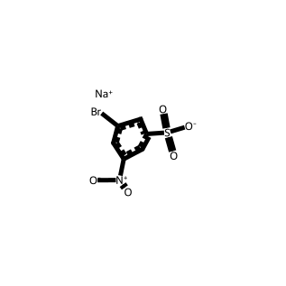 O=[N+]([O-])c1cc(Br)cc(S(=O)(=O)[O-])c1.[Na+]